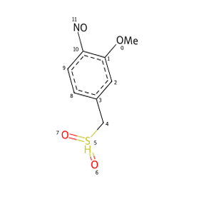 COc1cc(C[SH](=O)=O)ccc1N=O